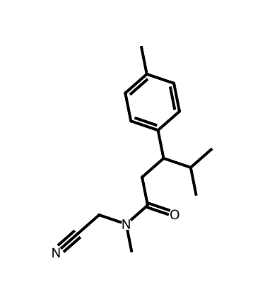 Cc1ccc(C(CC(=O)N(C)CC#N)C(C)C)cc1